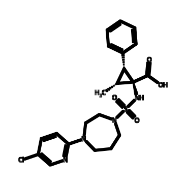 C[C@@H]1[C@H](c2ccccc2)[C@]1(NS(=O)(=O)N1CCCN(c2ccc(Cl)cn2)CC1)C(=O)O